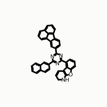 C1=Cc2c(oc3cccc(-c4nc(-c5ccc6c(c5)-c5cccc7cccc-6c57)nc(-c5ccc6ccccc6c5)n4)c23)NC1